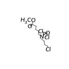 COC(=O)CCCCN(CCCCCl)P(=O)(Cl)Cl